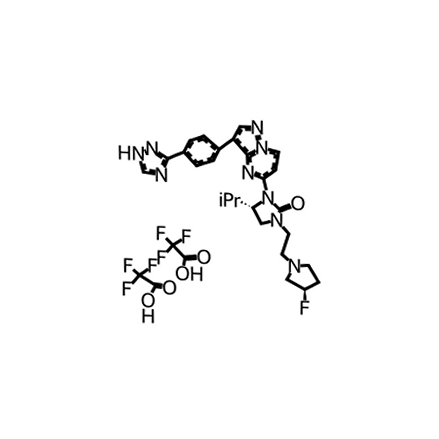 CC(C)[C@H]1CN(CCN2CC[C@@H](F)C2)C(=O)N1c1ccn2ncc(-c3ccc(-c4nc[nH]n4)cc3)c2n1.O=C(O)C(F)(F)F.O=C(O)C(F)(F)F